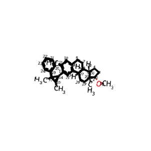 CO[C@H]1CC[C@H]2[C@@H]3CCc4cc(C)c(C5=C(C)C5(C)c5ccccc5)cc4[C@H]3CC[C@]12C